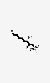 O=S(=O)([O-])CC(F)CCCCCCF.[K+]